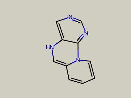 C1=CC2=CNc3cncnc3N2C=C1